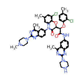 Cc1ccc(OC(C(=O)Nc2ccc3nc(N4CCNCC4)nc(C)c3c2)C(Oc2ccc(C)cc2Cl)C(=O)Nc2ccc3nc(N4CCN(C)CC4)nc(C)c3c2)c(Cl)c1